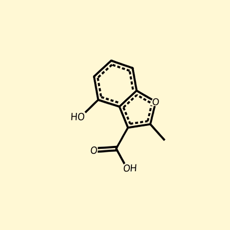 Cc1oc2cccc(O)c2c1C(=O)O